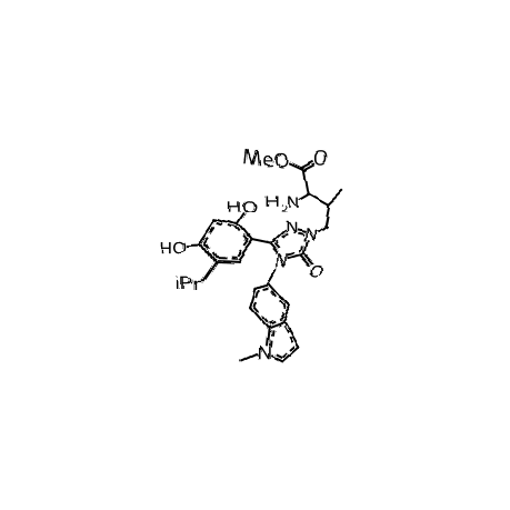 COC(=O)C(N)C(C)Cn1nc(-c2cc(C(C)C)c(O)cc2O)n(-c2ccc3c(ccn3C)c2)c1=O